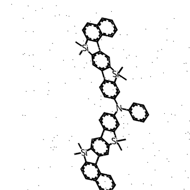 C[Si]1(C)c2cc(N(c3ccccc3)c3ccc4c(c3)[Si](C)(C)c3cc5c(cc3-4)[Si](C)(C)c3ccc4ccccc4c3-5)ccc2-c2cc3c(cc21)-c1c(ccc2ccccc12)[Si]3(C)C